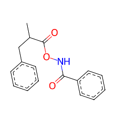 CC(Cc1ccccc1)C(=O)ONC(=O)c1ccccc1